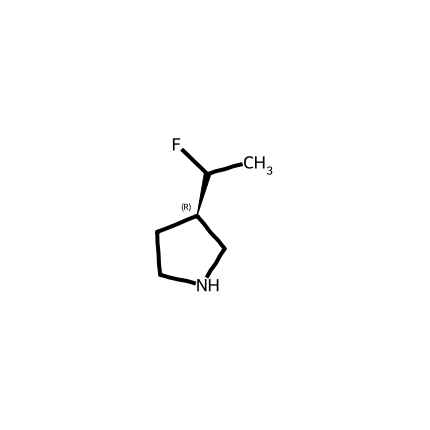 CC(F)[C@@H]1CCNC1